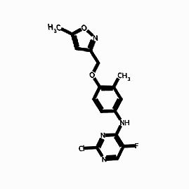 Cc1cc(COc2ccc(Nc3nc(Cl)ncc3F)cc2C)no1